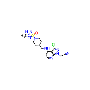 CN=S(N)(=O)N1CCC(CNc2ccnc3c2c(Cl)nn3CC#N)CC1